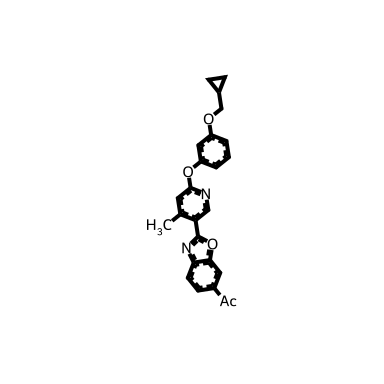 CC(=O)c1ccc2nc(-c3cnc(Oc4cccc(OCC5CC5)c4)cc3C)oc2c1